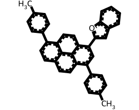 Cc1ccc(-c2ccc3ccc4c(-c5ccc(C)cc5)cc(-c5cc6ccccc6o5)c5ccc2c3c45)cc1